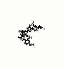 CC1OC(C2CCN(N)CC2O)C(O)C1O[PH](O)(O)OCC1CC(O)C(N2CCN(N)NC2O)O1